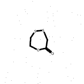 O=C1CSSCCO1